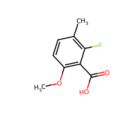 COc1ccc(C)c(F)c1C(=O)O